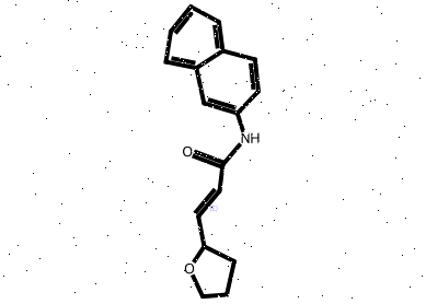 O=C(/C=C/C1CCCO1)Nc1ccc2ccccc2c1